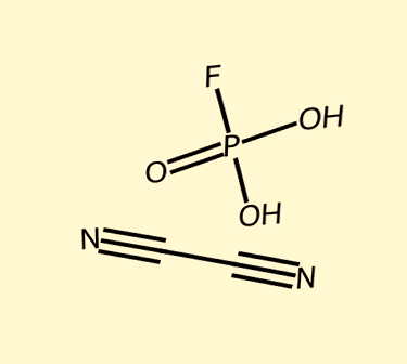 N#CC#N.O=P(O)(O)F